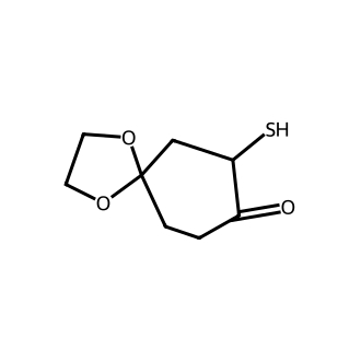 O=C1CCC2(CC1S)OCCO2